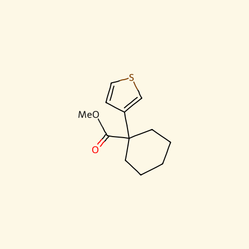 COC(=O)C1(c2ccsc2)CCCCC1